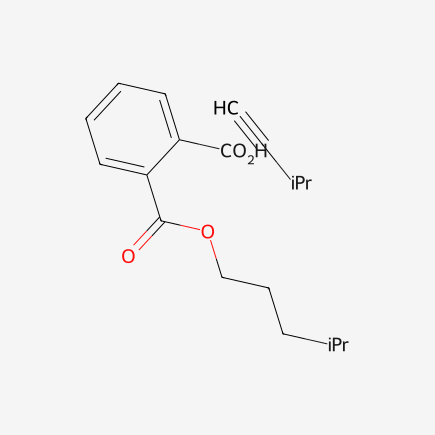 C#CC(C)C.CC(C)CCCOC(=O)c1ccccc1C(=O)O